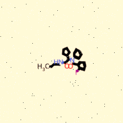 CCCCNC(=O)C(C1CCCC1)N(C(=O)c1ccccc1I)c1ccccc1